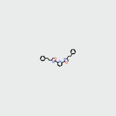 c1ccc(CCC2COC(c3cccc(C4=NC(CCc5ccccc5)CO4)n3)=N2)cc1